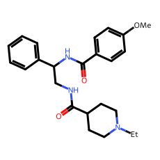 CCN1CCC(C(=O)NCC(NC(=O)c2ccc(OC)cc2)c2ccccc2)CC1